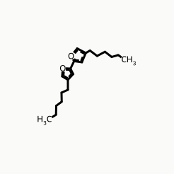 CCCCCCc1coc(-c2cc(CCCCCC)co2)c1